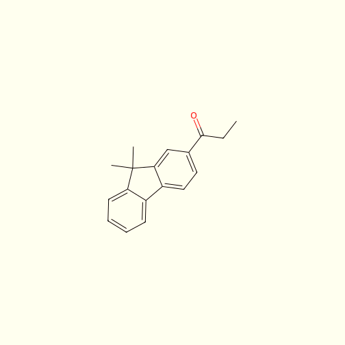 CCC(=O)c1ccc2c(c1)C(C)(C)c1ccccc1-2